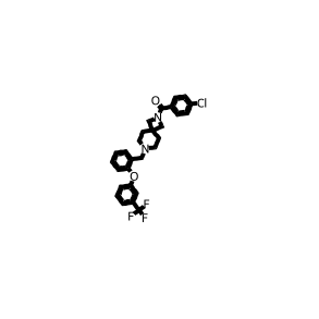 O=C(c1ccc(Cl)cc1)N1CC2(CCN(Cc3ccccc3Oc3cccc(C(F)(F)F)c3)CC2)C1